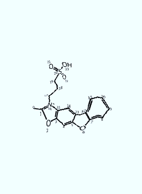 Cc1oc2cc3oc4ccccc4c3cc2[n+]1CCCS(=O)(=O)O